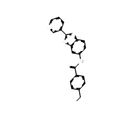 CCc1ccc(C(=O)Nc2ccc3oc(-c4cccnc4)nc3c2)cc1